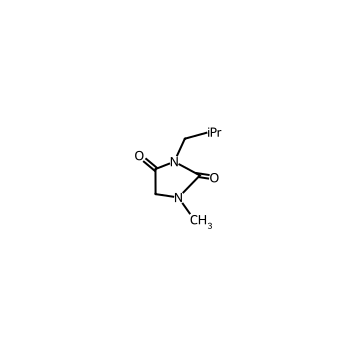 [CH2]C(C)CN1C(=O)CN(C)C1=O